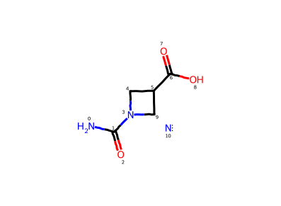 NC(=O)N1CC(C(=O)O)C1.[N]